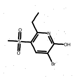 CCc1nc(O)c(Br)cc1S(C)(=O)=O